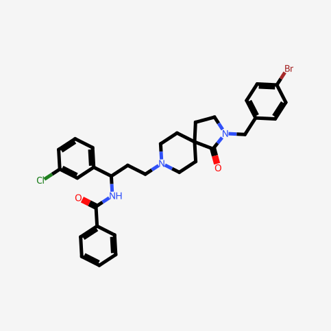 O=C(NC(CCN1CCC2(CC1)CCN(Cc1ccc(Br)cc1)C2=O)c1cccc(Cl)c1)c1ccccc1